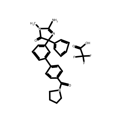 CN1C(=O)C(c2ccccc2)(c2cccc(-c3ccc(C(=O)N4CCCC4)cc3)c2)N=C1N.O=C(O)C(F)(F)F